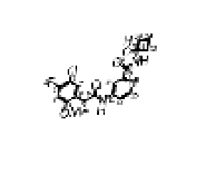 COc1cc(F)c(Cl)cc1CC(=O)Nc1ccnc(C(=O)NC2(C)CCC2)c1